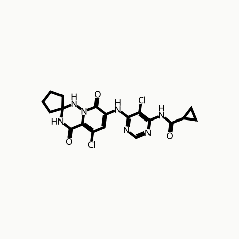 O=C1NC2(CCCC2)Nn2c1c(Cl)cc(Nc1ncnc(NC(=O)C3CC3)c1Cl)c2=O